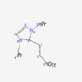 CCCCCCCCCCC1N(CCC)C=CN1C(C)C